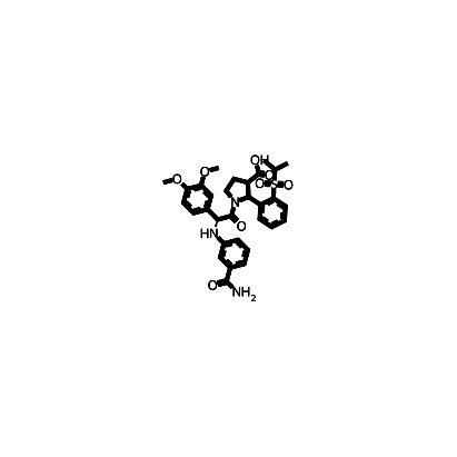 COc1ccc([C@@H](Nc2cccc(C(N)=O)c2)C(=O)N2CCC(C(=O)O)C2c2ccccc2S(=O)(=O)C(C)C)cc1OC